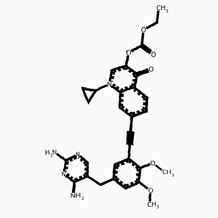 CCOC(=O)Oc1cn(C2CC2)c2cc(C#Cc3cc(Cc4cnc(N)nc4N)cc(OC)c3OC)ccc2c1=O